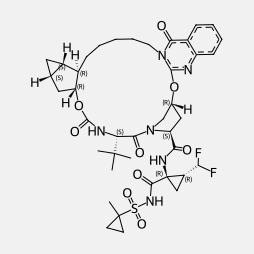 CC(C)(C)[C@@H]1NC(=O)O[C@@H]2C[C@@H]3C[C@@H]3[C@H]2CCCCCn2c(nc3ccccc3c2=O)O[C@@H]2C[C@@H](C(=O)N[C@]3(C(=O)NS(=O)(=O)C4(C)CC4)C[C@H]3C(F)F)N(C2)C1=O